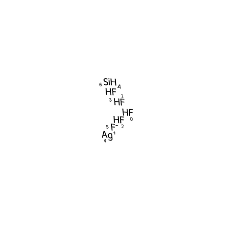 F.F.F.F.[Ag+].[F-].[SiH4]